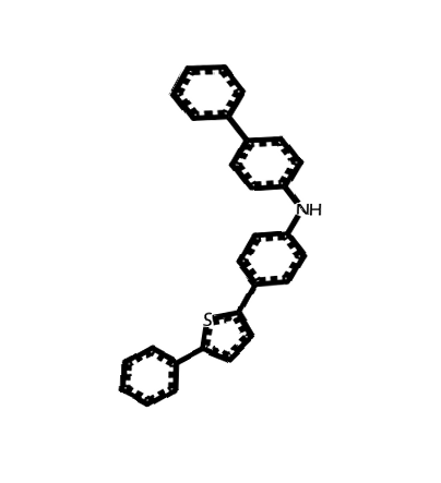 c1ccc(-c2ccc(Nc3ccc(-c4ccc(-c5ccccc5)s4)cc3)cc2)cc1